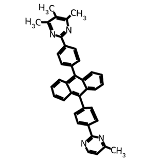 Cc1ccnc(-c2ccc(-c3c4ccccc4c(-c4ccc(-c5nc(C)c(C)c(C)n5)cc4)c4ccccc34)cc2)n1